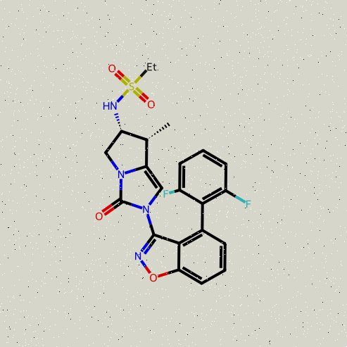 CCS(=O)(=O)N[C@H]1Cn2c(cn(-c3noc4cccc(-c5c(F)cccc5F)c34)c2=O)[C@H]1C